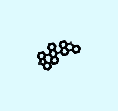 c1ccc2c(c1)Sc1cccc3c(-c4c5ccccc5c(-c5cccc6oc7ccccc7c56)c5ccccc45)ccc-2c13